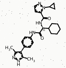 Cc1n[nH]c(C)c1-c1ccc(NC(=O)[C@@H](NC(=O)c2ccnn2C2CC2)C2CCCCC2)cc1